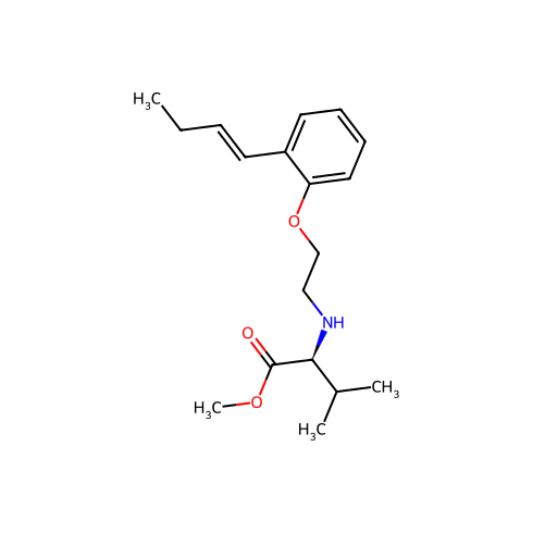 CC/C=C/c1ccccc1OCCN[C@H](C(=O)OC)C(C)C